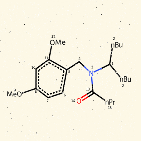 CCCCC(CCCC)N(Cc1ccc(OC)cc1OC)C(=O)CCC